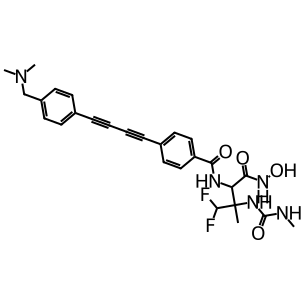 CNC(=O)NC(C)(C(F)F)C(NC(=O)c1ccc(C#CC#Cc2ccc(CN(C)C)cc2)cc1)C(=O)NO